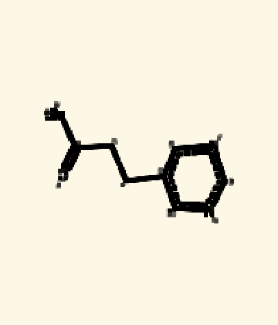 CC(C)(C)C(=O)CCc1cncnc1